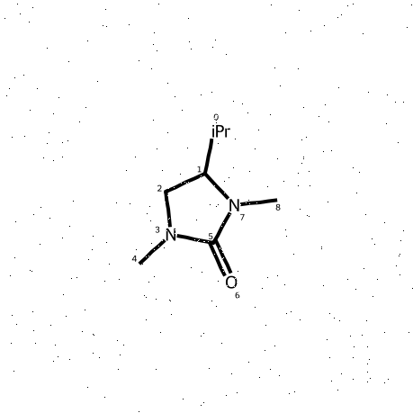 CC(C)C1CN(C)C(=O)N1C